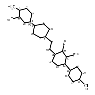 CC1CC[C@@H](C2CCC(CCC3CCC(C4CCC(Cl)CC4)C(F)C3F)CC2)CC1F